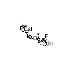 O=C(O)[C@@H]1C[C@@H](F)CN1C(=O)c1cc(C2CC2)c(OCC2CCN(Cc3cc(Cl)cc(OC(F)(F)F)c3)CC2)cc1F